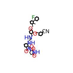 Cc1c(COc2ccc(CNCCNc3cccc4c3C(=O)N(C3CCC(=O)NC3=O)C4=O)c(OCc3cccc(C#N)c3)c2)cccc1-c1ccccc1F